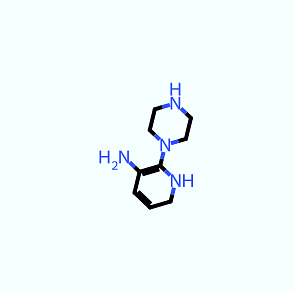 NC1=C(N2CCNCC2)NCC=C1